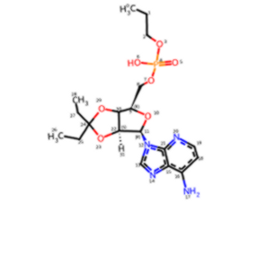 CCCOP(=O)(O)OC[C@H]1O[C@@H](n2cnc3c(N)ccnc32)[C@H]2OC(CC)(CC)OC12